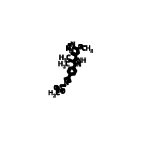 COc1cc(-c2[nH]nc(-c3ccc(C4CN(CCS(C)(=O)=O)C4)cc3)c2C(C)C)cn2ncnc12